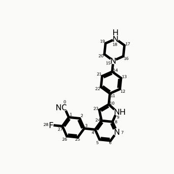 N#Cc1cc(-c2ccnc3[nH]c(-c4ccc(N5CCNCC5)cc4)cc23)ccc1F